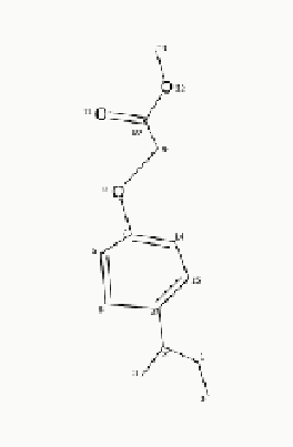 CCC(C)c1ccc(OCC(=O)OC)cc1